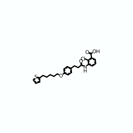 O=C(CCc1ccc(OCCCCCc2cccs2)cc1)Nc1cccc(C(=O)O)c1Cl